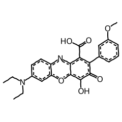 CCN(CC)c1ccc2nc3c(C(=O)O)c(-c4cccc(OC)c4)c(=O)c(O)c-3oc2c1